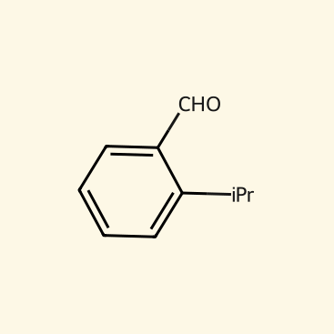 CC(C)c1ccccc1C=O